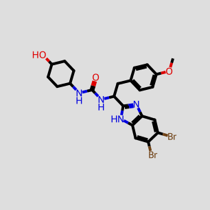 COc1ccc(CC(NC(=O)NC2CCC(O)CC2)c2nc3cc(Br)c(Br)cc3[nH]2)cc1